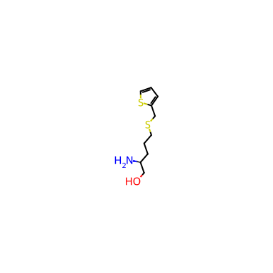 N[C@H](CO)CCCSCc1cccs1